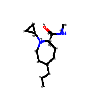 CCCC1CC[C@@H](C(=O)NC)N(C2CC2)CC1